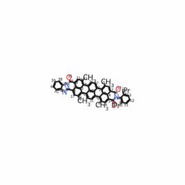 Cc1cc2c3c(cc(C)c4c5ccc6c7c(C)cc8c9c(cc(C)c(c%10ccc(c1c34)c5c%106)c79)c(=O)n1c3ccccc3nc81)C(=O)N(c1c(C(C)C)cccc1C(C)C)C2=O